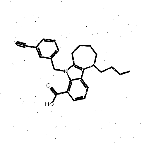 CCCCC1CCCCc2c1c1cccc(C(=O)O)c1n2Cc1cccc(C#N)c1